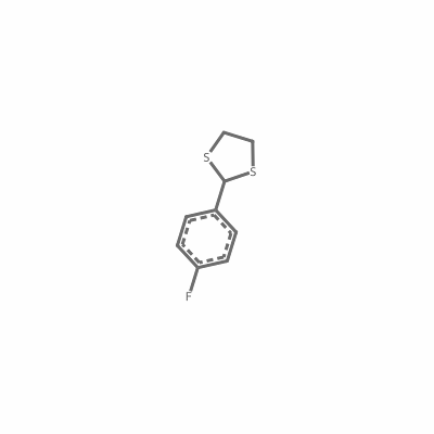 Fc1ccc(C2SCCS2)cc1